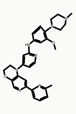 COc1cc(Nc2cc(N3CCOc4cnc(-c5cccc(C)n5)cc43)ccn2)ccc1N1CCN(C)CC1